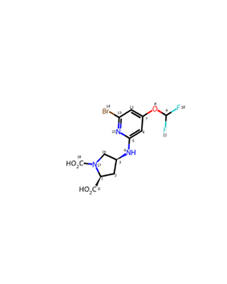 O=C(O)[C@@H]1C[C@H](Nc2cc(OC(F)F)cc(Br)n2)CN1C(=O)O